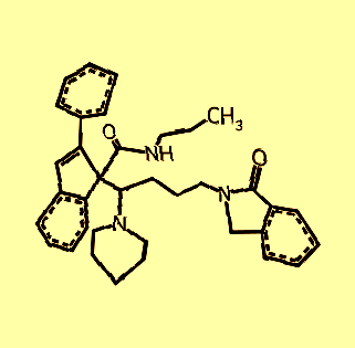 CCCNC(=O)C1(C(CCCN2Cc3ccccc3C2=O)N2CCCCC2)C(c2ccccc2)=Cc2ccccc21